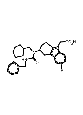 O=C(O)Cn1c2c(c3cc(F)ccc31)CC(N(CC1CCCCC1)C(=O)NCc1ccccc1)CC2